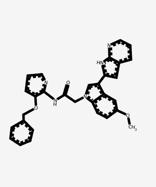 COc1ccc2c(c1)c(-c1cc3cccnc3[nH]1)cn2CC(=O)Nc1ncccc1OCc1ccccc1